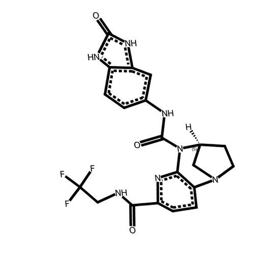 O=C(NCC(F)(F)F)c1ccc2c(n1)N(C(=O)Nc1ccc3[nH]c(=O)[nH]c3c1)[C@H]1CCN2C1